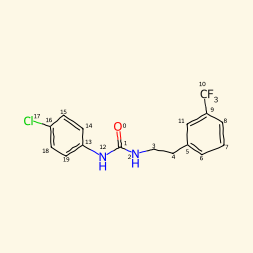 O=C(NCCc1cccc(C(F)(F)F)c1)Nc1ccc(Cl)cc1